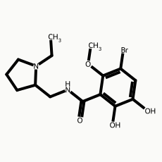 CCN1CCCC1CNC(=O)c1c(O)c(O)cc(Br)c1OC